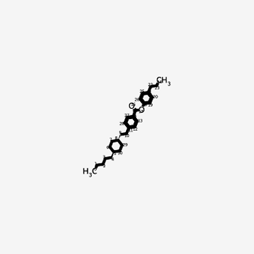 CCCCC[C@H]1CC[C@H](CCc2ccc(C(=O)Oc3ccc(CCC)cc3)cc2)CC1